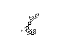 CC(Oc1cc(-c2ccc(OCC(O)CN3CCOCC3)cc2)cnc1N)c1c(Cl)ccc(F)c1Cl